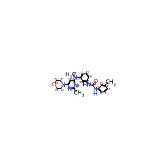 Cc1cccc(NC(=O)Nc2cccc(N(C)c3cc(N4CCOCC4)nc(C)n3)c2)c1